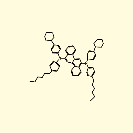 CCCCCCc1ccc(N(c2ccc(C3CCCCC3)cc2)c2cc3c4ccccc4c(N(c4ccc(CCCCCC)cc4)C4C=CC(C5CCCCC5)=CC4)cc3c3ccccc23)cc1